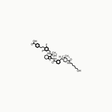 CC(O)(NCc1cc(F)c(CCc2ccc(C(=O)O)cc2)c(F)c1)c1c(NC(=O)c2cccc(CN3CCN(C(=O)NCCCCCO)CC3(C)C)c2)sc2c1CCCC2